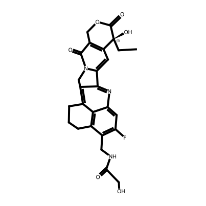 CC[C@@]1(O)C(=O)OCc2c1cc1n(c2=O)Cc2c-1nc1cc(F)c(CNC(=O)CO)c3c1c2CCC3